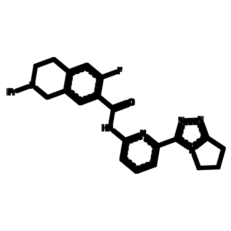 CC(C)N1CCc2cc(F)c(C(=O)Nc3cccc(-c4nnc5n4CCC5)n3)cc2C1